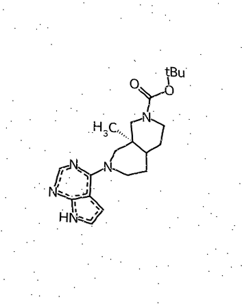 CC(C)(C)OC(=O)N1CCC2CCN(c3ncnc4[nH]ccc34)C[C@@]2(C)C1